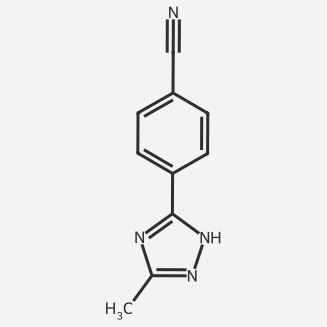 Cc1n[nH]c(-c2ccc(C#N)cc2)n1